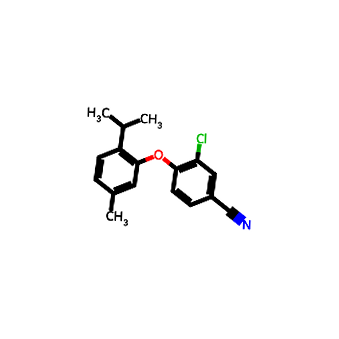 Cc1ccc(C(C)C)c(Oc2ccc(C#N)cc2Cl)c1